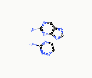 Nc1ncc2nc[nH]c2n1.Nc1nccnn1